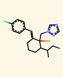 CCC(C)C1CCCC(=Cc2ccc(Cl)cc2)C1(O)Cn1cncn1